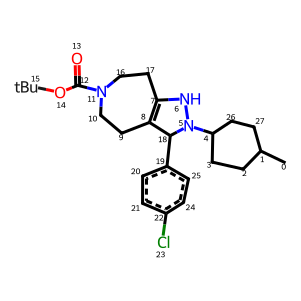 CC1CCC(N2NC3=C(CCN(C(=O)OC(C)(C)C)CC3)C2c2ccc(Cl)cc2)CC1